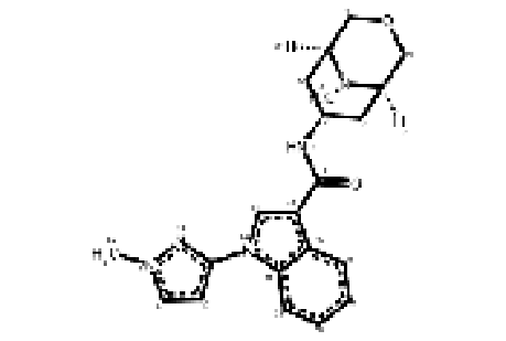 CN1[C@@H]2COC[C@H]1C[C@@H](NC(=O)c1cn(-c3ccn(C)n3)c3ccccc13)C2